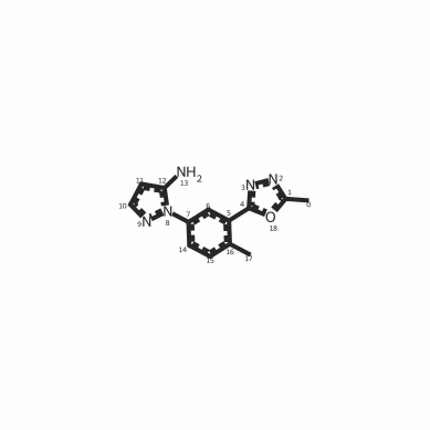 Cc1nnc(-c2cc(-n3nccc3N)ccc2C)o1